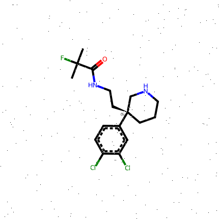 CC(C)(F)C(=O)NCC[C@]1(c2ccc(Cl)c(Cl)c2)CCCNC1